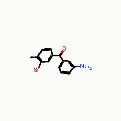 Cc1ccc(C(=O)c2cccc(N)c2)cc1Br